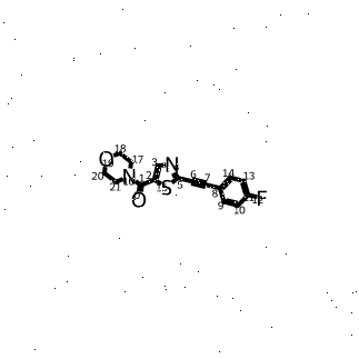 O=C(c1cnc(C#Cc2ccc(F)cc2)s1)N1CCOCC1